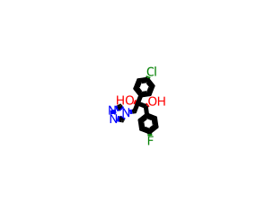 OC(c1ccc(F)cc1)C(O)(Cn1cnnc1)c1ccc(Cl)cc1